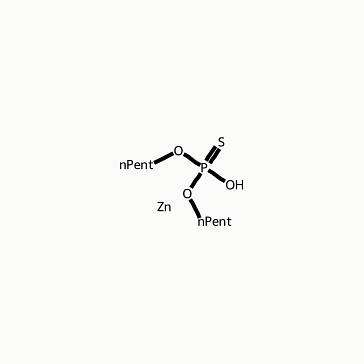 CCCCCOP(O)(=S)OCCCCC.[Zn]